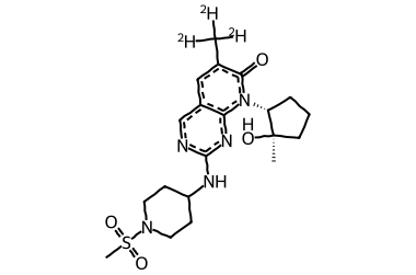 [2H]C([2H])([2H])c1cc2cnc(NC3CCN(S(C)(=O)=O)CC3)nc2n([C@@H]2CCC[C@@]2(C)O)c1=O